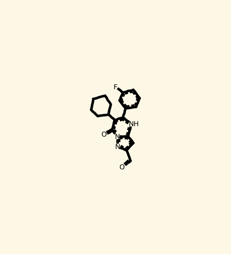 O=Cc1cc2[nH]c(-c3cccc(F)c3)c(C3CCCCC3)c(=O)n2n1